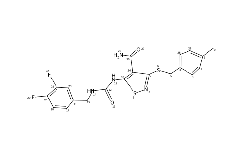 Cc1ccc(CSc2nsc(NC(=O)NCc3ccc(F)c(F)c3)c2C(N)=O)cc1